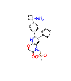 CS(=O)(=O)CN1C(=O)COc2nc(-c3ccc(C4(N)CCC4)cc3)c(-c3ccccc3)cc21